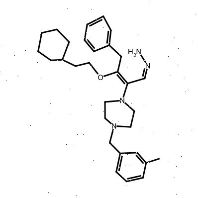 Cc1cccc(CN2CCN(C(/C=N\N)=C(/Cc3ccccc3)OCCC3CCCCC3)CC2)c1